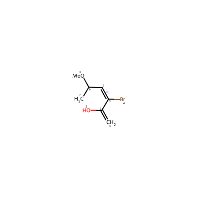 C=C(O)/C(Br)=C\C(C)OC